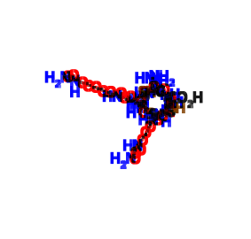 N=C(N)NCCC[C@@H]1NC(=O)[C@H](CS)NC(=O)[C@H](CCCCNC(=O)COCC(=O)NCCOCCOCCOCCOCCOCCNC(=O)CON)NC(=O)CSC[C@@H](C(=O)NCCOCCOCCOCCNC(=O)COCC(N)=O)NC(=O)[C@H](Cc2ccccc2)NC(=O)[C@H](CS)NC(=O)[C@H](CC(=O)O)NC(=O)CNC1=O